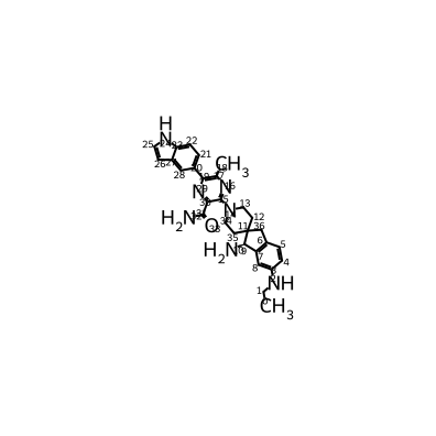 CCNc1ccc2c(c1)[C@@H](N)C1(CCN(c3nc(C)c(-c4ccc5[nH]ccc5c4)nc3C(N)=O)CC1)C2